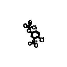 O=[N+]([O-])c1cc(OS(=O)(=O)Cl)ccc1Cl